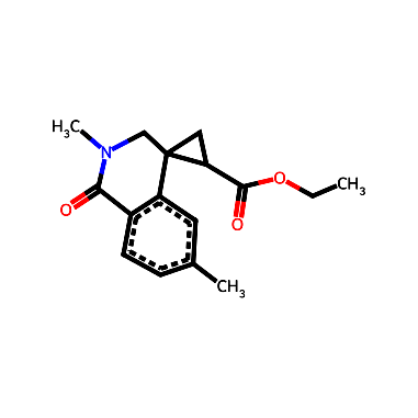 CCOC(=O)C1CC12CN(C)C(=O)c1ccc(C)cc12